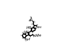 CNCCc1c(-c2ccc3[nH]cc(CCN(C)C)c3c2O)[nH]c2cccc(O)c12